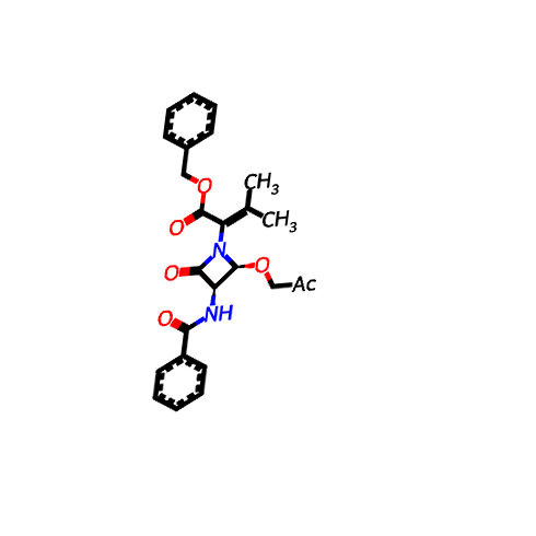 CC(=O)CO[C@H]1[C@@H](NC(=O)c2ccccc2)C(=O)N1C(C(=O)OCc1ccccc1)=C(C)C